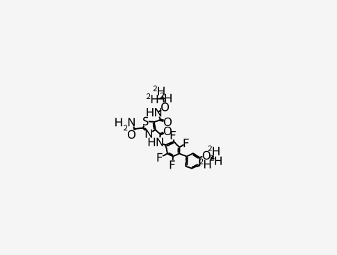 [2H]C([2H])([2H])ONC(=O)c1sc(C(N)=O)nc1C(=O)Nc1c(F)c(F)c(-c2cccc(OC([2H])([2H])[2H])c2)c(F)c1F